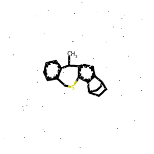 CC1c2ccccc2CSc2c1ccc1c2C2CCC1CC2